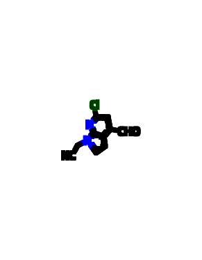 N#CCn1ccc2c(C=O)cc(Cl)nc21